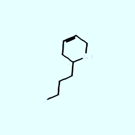 [Li][CH2]CCC1CC=CCN1